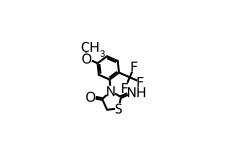 COc1ccc(C(F)(F)F)c(N2C(=N)SCC2=O)c1